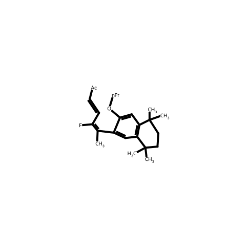 CCCOc1cc2c(cc1/C(C)=C(F)\C=C\C(C)=O)C(C)(C)CCC2(C)C